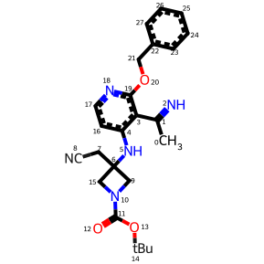 CC(=N)c1c(NC2(CC#N)CN(C(=O)OC(C)(C)C)C2)ccnc1OCc1ccccc1